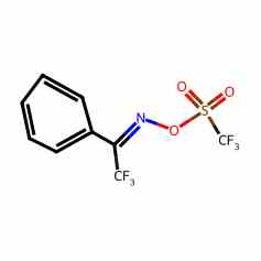 O=S(=O)(ON=C(c1ccccc1)C(F)(F)F)C(F)(F)F